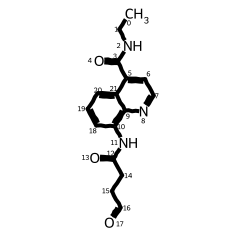 CCNC(=O)c1ccnc2c(NC(=O)CCC=O)cccc12